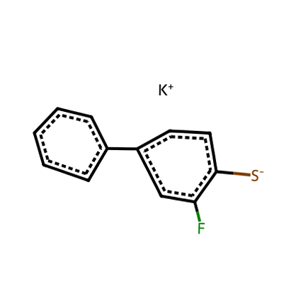 Fc1cc(-c2ccccc2)ccc1[S-].[K+]